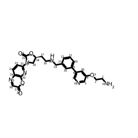 NCCOc1cncc(-c2cccc(CNCC[C@H]3CN(c4ccc5ncc(=O)oc5n4)C(=O)O3)c2)c1